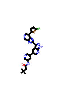 CC(C)(C)CC(=O)Nc1cncc(-c2cnc3[nH]nc(-c4nc5c(-c6ccc(F)s6)cncc5[nH]4)c3c2)c1